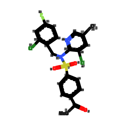 COC(=O)c1ccc(S(=O)(=O)N(Cc2ccc(F)cc2Cl)c2ncc(C(F)(F)F)cc2Cl)cc1